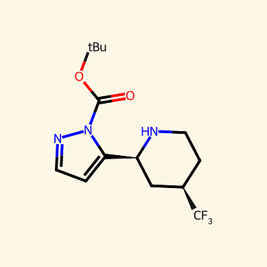 CC(C)(C)OC(=O)n1nccc1[C@@H]1C[C@H](C(F)(F)F)CCN1